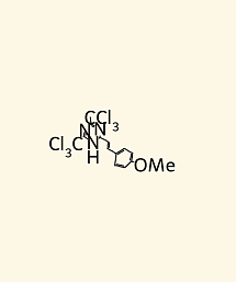 COc1ccc(/C=C/C2N=C(C(Cl)(Cl)Cl)N=C(C(Cl)(Cl)Cl)N2)cc1